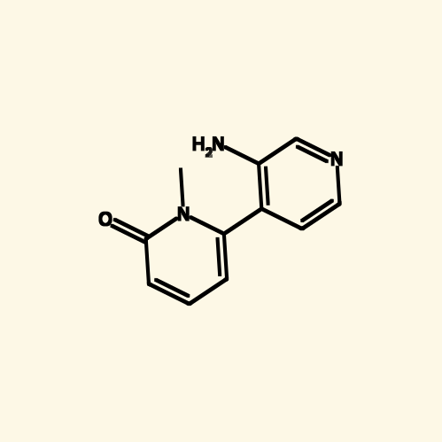 Cn1c(-c2ccncc2N)cccc1=O